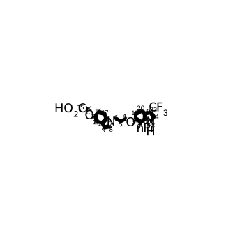 CCCc1c(OCCCn2ccc3cc(OCC(=O)O)ccc32)ccc2c(C(F)(F)F)c[nH]c12